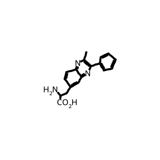 Cc1nc2ccc(CC(N)C(=O)O)cc2nc1-c1ccccc1